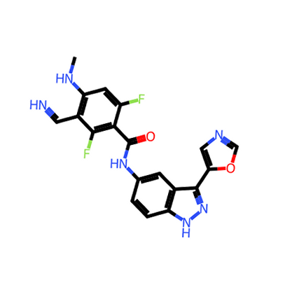 CNc1cc(F)c(C(=O)Nc2ccc3[nH]nc(-c4cnco4)c3c2)c(F)c1C=N